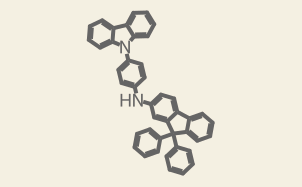 c1ccc(C2(c3ccccc3)c3ccccc3-c3ccc(Nc4ccc(-n5c6ccccc6c6ccccc65)cc4)cc32)cc1